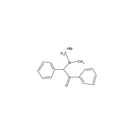 Br.CN(C)C(C(=O)c1ccccc1)c1ccccc1